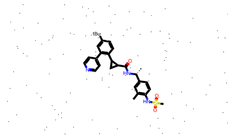 Cc1cc([C@@H](C)NC(=O)C2CC2c2ccc(C(C)(C)C)cc2-c2ccncc2)ccc1NS(C)(=O)=O